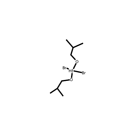 CC(C)C[O][Hf]([Br])([Br])[O]CC(C)C